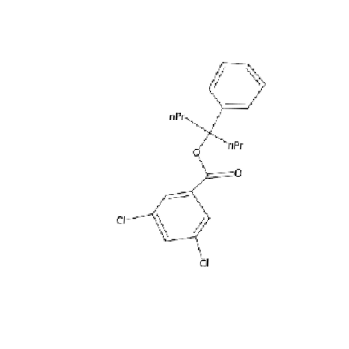 CCCC(CCC)(OC(=O)c1cc(Cl)cc(Cl)c1)c1ccccc1